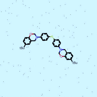 CC(C)(C)c1ccc2c(c1)CN(c1ccc(Sc3ccc(N4COc5cc(C(C)(C)C)ccc5C4)cc3)cc1)CO2